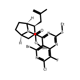 C=C(C)C[C@@H]1[C@@H]2CC[C@H](CN1c1nc(SCC)nc3c(F)c(Cl)nc(Br)c13)N2C(=O)OC(C)(C)C